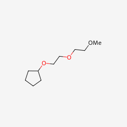 COCCOCCOC1CCCC1